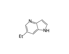 CCc1cnc2cc[nH]c2c1